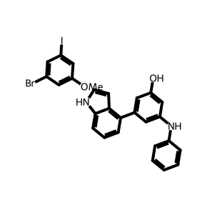 COc1cc(Br)cc(I)c1.Oc1cc(Nc2ccccc2)cc(-c2cccc3[nH]ccc23)c1